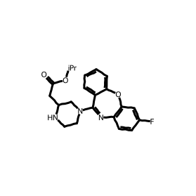 CC(C)OC(=O)CC1CN(C2=Nc3ccc(F)cc3Oc3ccccc32)CCN1